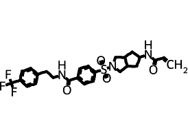 C=CC(=O)NC1CC2CN(S(=O)(=O)c3ccc(C(=O)NCCc4ccc(C(F)(F)F)cc4)cc3)CC2C1